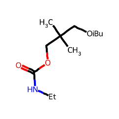 CCNC(=O)OCC(C)(C)COCC(C)C